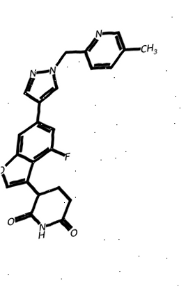 Cc1ccc(Cn2cc(-c3cc(F)c4c(C5CCC(=O)NC5=O)coc4c3)cn2)nc1